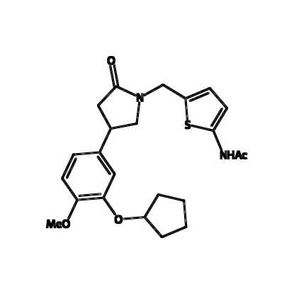 COc1ccc(C2CC(=O)N(Cc3ccc(NC(C)=O)s3)C2)cc1OC1CCCC1